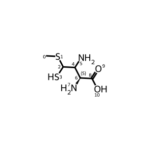 CSC(S)C(N)[C@H](N)C(=O)O